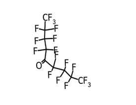 O=C(C(F)(F)C(F)(F)C(F)(F)C(F)(F)F)C(F)(F)C(F)(F)C(F)(F)C(F)(F)F